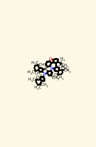 Cc1cc2c3c(c1)-n1c4cc5c(cc4c4c(C(C)(C)C)ccc6oc7ccc(c1c7c64)B3c1cc3c(cc1N2c1ccc2c(c1)C(C)(C)CCC2(C)C)C(C)(C)CCC3(C)C)C(C)(C)CCC5(C)C